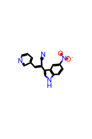 N#CC(=Cc1cccnc1)c1c[nH]c2ccc([N+](=O)[O-])cc12